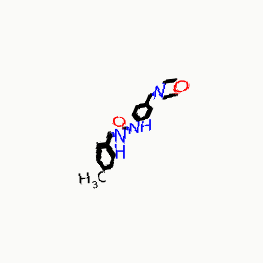 CC1C=CC(CNC(=O)Nc2ccc(CN3CCOCC3)cc2)=CC1